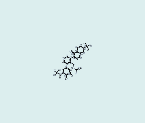 CC(=O)OCc1c(-c2cc(NC(C)(C)C)c(=O)n(C)c2)cccc1-n1ncc2cc(C(C)(C)C)ccc2c1=O